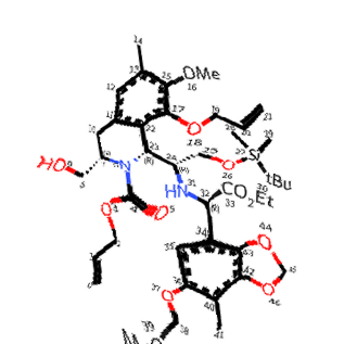 C=CCOC(=O)N1[C@H](CO)Cc2cc(C)c(OC)c(OCC=C)c2[C@@H]1[C@H](CO[Si](C)(C)C(C)(C)C)N[C@@H](C(=O)OCC)c1cc(OCOC)c(C)c2c1OCO2